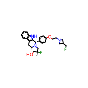 C[C@@H]1Cc2c([nH]c3ccccc23)[C@@H](c2ccc(OCCN3CC(CF)C3)cc2)N1C[C@](C)(F)CO